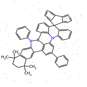 CC1(C)CCC(C)(C)c2cc3c(cc21)-c1cc(-c2ccccc2)cc2c1B(c1cccc4c1N2c1ccccc1C41c2ccccc2-c2ccccc21)N3c1ccccc1